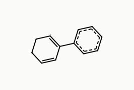 [C]1=C(c2ccccc2)C=CCC1